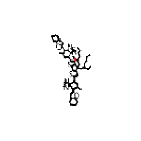 CCCCC(CC)CC1(CC(CC)CCCC)c2cc(-c3cc(C)c(-c4cc5ccccc5o4)c4nsnc34)sc2-c2sc(-c3cc(C)c(-c4cc5ccccc5o4)c4nsnc34)cc21